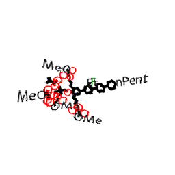 C=C(C)C(=O)OCC(COC(=O)C(=O)OC)(COC(=O)C(=O)OC)COc1c(CCCOC(=O)C(=O)OC)cc(-c2ccc(-c3ccc(C4CCC(CCCCC)CC4)cc3F)c(CC)c2)cc1CCCOC(=O)C(=O)OC